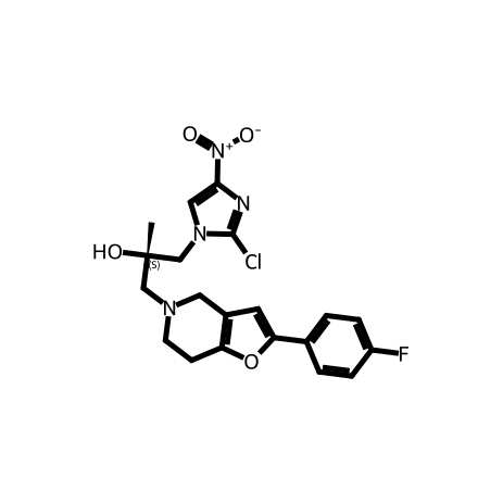 C[C@](O)(CN1CCc2oc(-c3ccc(F)cc3)cc2C1)Cn1cc([N+](=O)[O-])nc1Cl